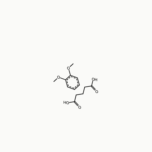 COc1ccccc1OC.O=C(O)CCCC(=O)O